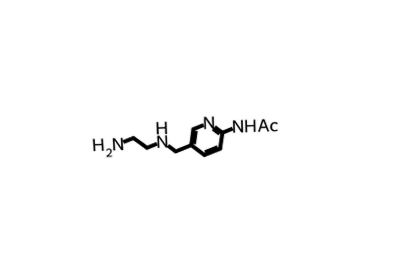 CC(=O)Nc1ccc(CNCCN)cn1